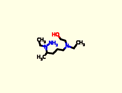 CCN(CCO)CCCC(C)N(N)CC